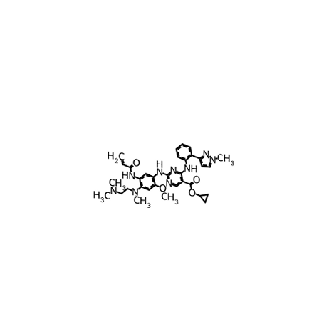 C=CC(=O)Nc1cc(Nc2ncc(C(=O)OC3CC3)c(Nc3ccccc3-c3ccn(C)n3)n2)c(OC)cc1N(C)CCN(C)C